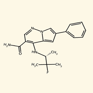 C[C@@H](Nc1c(C(N)=O)cnn2cc(-c3ccccc3)cc12)C(C)(C)F